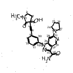 CN1CCC(O)(C#Cc2cccc(-n3nc(C(N)=O)c4cnc(N5CCCC5)cc43)c2)C1=O